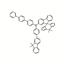 CC1(C)c2ccccc2-c2ccc(-c3ccc(N(c4ccc(-c5ccc(-c6ccccc6)cc5)cc4)c4ccc5c(c4)C4(c6ccccc6-5)c5ccccc5C(C)(C)c5ccccc54)cc3)cc21